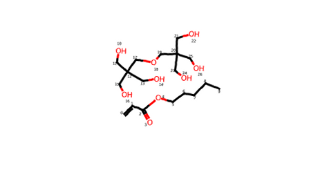 C=CC(=O)OCCCCC.OCC(CO)(CO)COCC(CO)(CO)CO